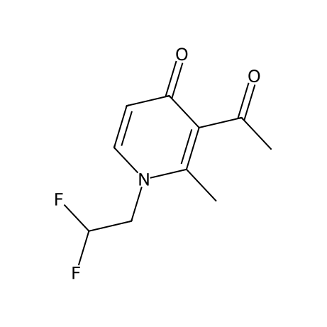 CC(=O)c1c(C)n(CC(F)F)ccc1=O